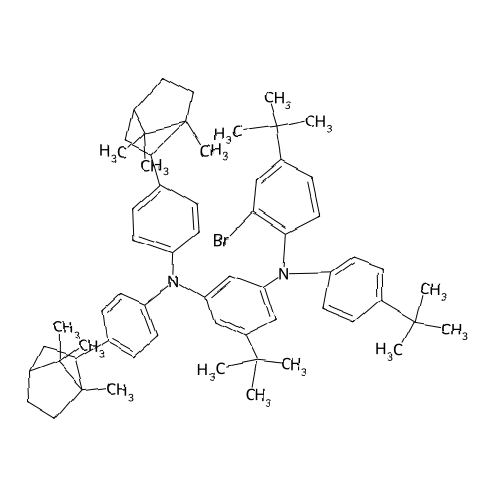 CC(C)(C)c1ccc(N(c2cc(N(c3ccc(C4CC5CCC4(C)C5(C)C)cc3)c3ccc(C4CC5CCC4(C)C5(C)C)cc3)cc(C(C)(C)C)c2)c2ccc(C(C)(C)C)cc2Br)cc1